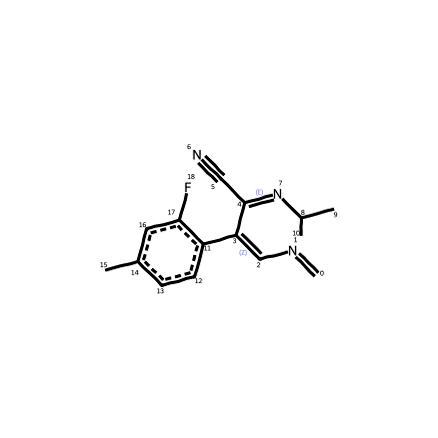 C=N/C=C(\C(C#N)=N/C(C)C)c1ccc(C)cc1F